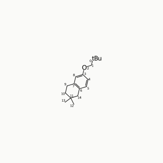 CC(C)(C)COc1ccc2c(c1)CCC(C)(C)C2